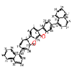 C1=CC2c3ccc4c(oc5cc(-c6cccc7ccccc67)ccc54)c3OC2C=C1c1cccc2ccccc12